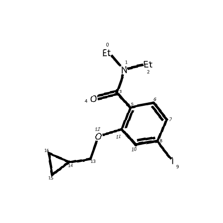 CCN(CC)C(=O)c1ccc(I)cc1OCC1CC1